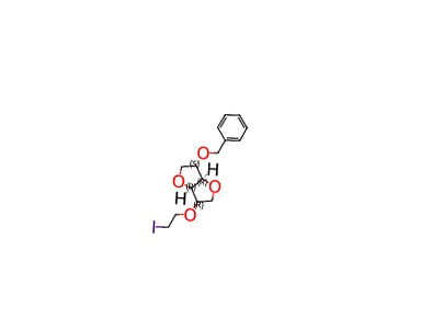 ICCO[C@@H]1CO[C@H]2[C@@H]1OC[C@@H]2OCc1ccccc1